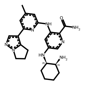 Cc1cc(Nc2cc(N[C@@H]3CCCC[C@@H]3N)cnc2C(N)=O)nc(-c2cnn3c2CCC3)c1